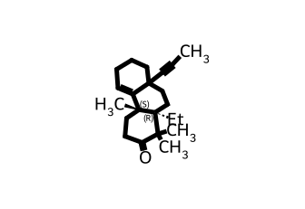 CC#CC12CCCC=C1[C@@]1(C)CCC(=O)C(C)(C)[C@]1(CC)CC2